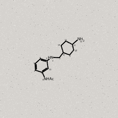 CC(=O)Nc1cccc(NCC2CCC(N)CC2)c1